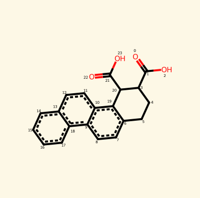 O=C(O)C1CCc2ccc3c(ccc4ccccc43)c2C1C(=O)O